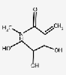 C=CC(=O)NC.OCC(O)CO